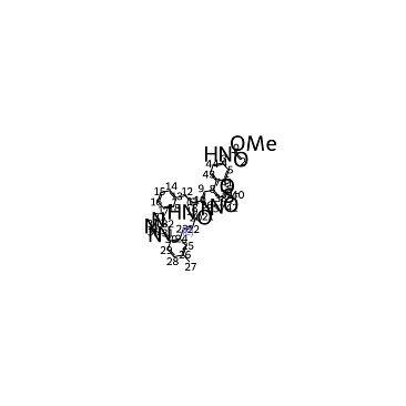 COC(=O)Nc1ccc(-c2cc([C@H](Cc3ccccc3)NC(=O)/C=C/c3cc(C)ccc3-n3cnnn3)nnc2S(C)(=O)=O)cc1